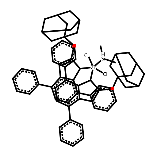 C[SiH](C)[Zr]([Cl])([Cl])([CH]1C(CC23CC4CC(CC(C4)C2)C3)=Cc2c(-c3ccccc3)ccc(-c3ccccc3)c21)[CH]1C(CC23CC4CC(CC(C4)C2)C3)=Cc2c(-c3ccccc3)ccc(-c3ccccc3)c21